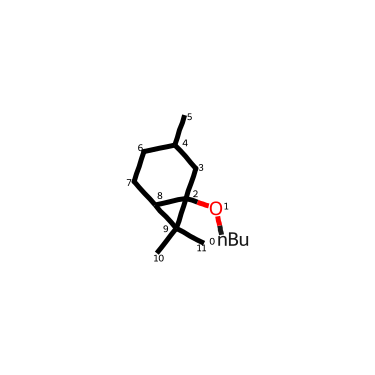 [CH2]CCCOC12CC(C)CCC1C2(C)C